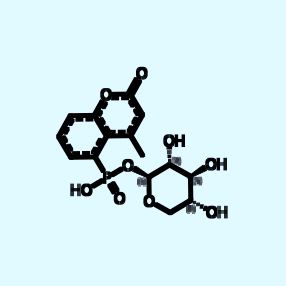 Cc1cc(=O)oc2cccc(P(=O)(O)O[C@@H]3OC[C@@H](O)[C@H](O)[C@H]3O)c12